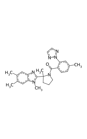 Cc1ccc(C(=O)N2CCCC2(C)c2nc3cc(C)c(C)cc3n2C)c(-n2nccn2)c1